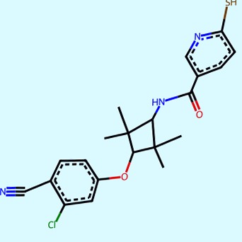 CC1(C)C(NC(=O)c2ccc(S)nc2)C(C)(C)C1Oc1ccc(C#N)c(Cl)c1